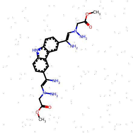 COC(=O)CN(N)/C=C(\N)c1ccc2[nH]c3ccc(/C(N)=C/N(N)CC(=O)OC)cc3c2c1